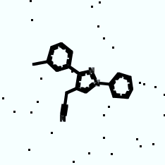 Cc1cccc(-c2nn(-c3ccccc3)cc2CC#N)c1